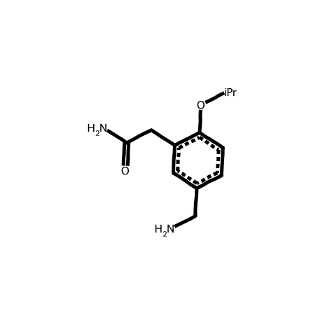 CC(C)Oc1ccc(CN)cc1CC(N)=O